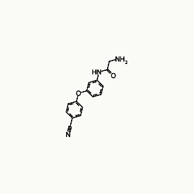 N#Cc1ccc(Oc2cccc(NC(=O)CN)c2)cc1